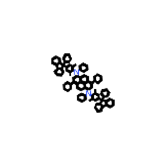 Cc1cc(C2(c3ccccc3)c3ccccc3-c3ccccc32)cc(C)c1N(c1ccccc1)c1cc(C2CCCCC2)c2ccc3c(N(c4ccccc4)c4c(C)cc(C5(c6ccccc6)c6ccccc6-c6ccccc65)cc4C)cc(C4CCCCC4)c4ccc1c2c43